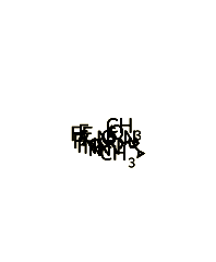 CCS(=O)(=O)c1cc(-c2cc(C3CC3)ccn2)cnc1-c1nc2cc(C(F)(F)C(F)(F)F)nnc2n1C